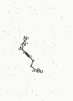 CCCCCCC#CN=[N+]=[N-]